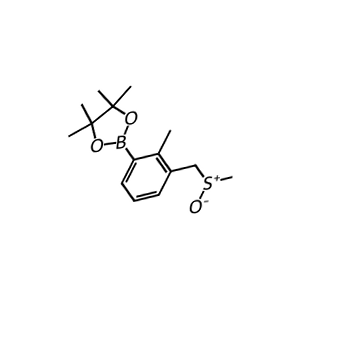 Cc1c(C[S+](C)[O-])cccc1B1OC(C)(C)C(C)(C)O1